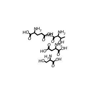 CC(O)C(N)C(=O)O.NC(CC(=O)O)C(=O)O.NC(CCC(=O)O)C(=O)O.NC(CO)C(=O)O